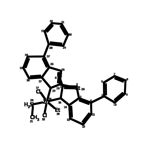 CCC1=Cc2c(-c3ccccc3)cccc2[CH]1[Zr]([Cl])([Cl])([CH2]C)([SiH2]C)[CH]1C(CC)=Cc2c(-c3ccccc3)cccc21